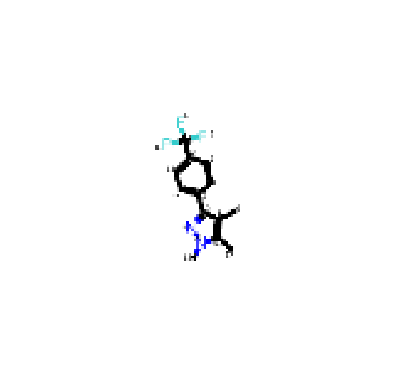 Cc1c(-c2ccc(C(F)(F)F)cc2)nn(C)c1C